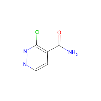 NC(=O)c1ccnnc1Cl